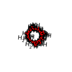 CC[C@H](C)[C@@H]1NC(=O)CSC[C@@H](C(=O)N[C@@H](CCN)C(N)=O)NC(=O)[C@H](CCCN)NC(=O)[C@H](C(C)C)NC(=O)[C@H](CC2CCCCC2)NC(=O)[C@H](CCN)NC(=O)[C@@H](CC(C)C)NC(=O)[C@H](C)N(C)C(=O)[C@H](CCC(N)=O)NC(=O)[C@H](Cc2ccc(-c3ccccc3)cc2)NC(=O)[C@H](Cc2ccc(C(=O)O)cc2)NC(=O)[C@H](Cc2cccc(C)c2)NC(=O)[C@H](CC(=O)O)NC(=O)[C@H](Cc2ccc(OCC(=O)O)cc2)NC1=O